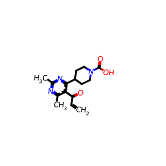 C=CC(=O)c1c(C)nc(C)nc1C1CCN(C(=O)O)CC1